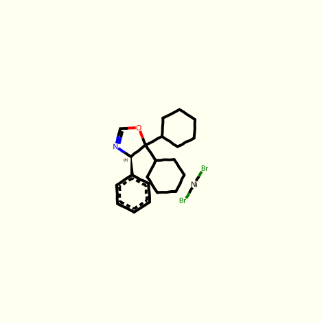 C1=N[C@H](c2ccccc2)C(C2CCCCC2)(C2CCCCC2)O1.[Br][Ni][Br]